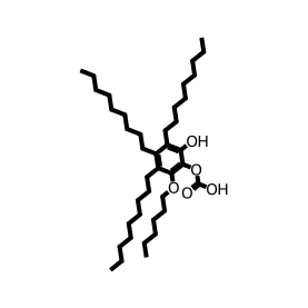 CCCCCCCCCc1c(O)c(OC(=O)O)c(OCCCCCC)c(CCCCCCCCC)c1CCCCCCCCC